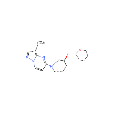 O=C(O)c1cnn2ccc(N3CCC[C@H](OC4CCCCO4)C3)nc12